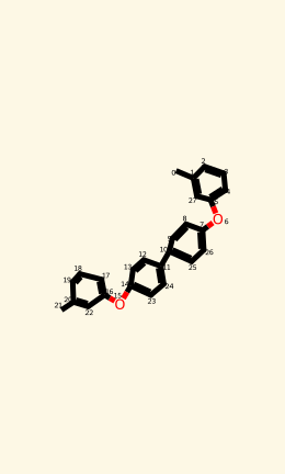 Cc1cccc(Oc2ccc(-c3ccc(Oc4cccc(C)c4)cc3)cc2)c1